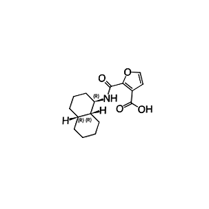 O=C(O)c1ccoc1C(=O)N[C@@H]1CCC[C@H]2CCCC[C@H]21